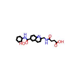 O=C(O)CCC(=O)NCc1ccc2cc(C(=O)Nc3ccccc3O)ccc2n1